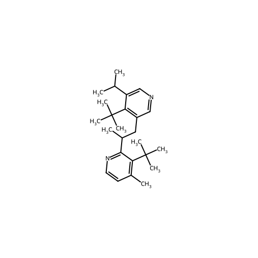 Cc1ccnc(C(C)Cc2cncc(C(C)C)c2C(C)(C)C)c1C(C)(C)C